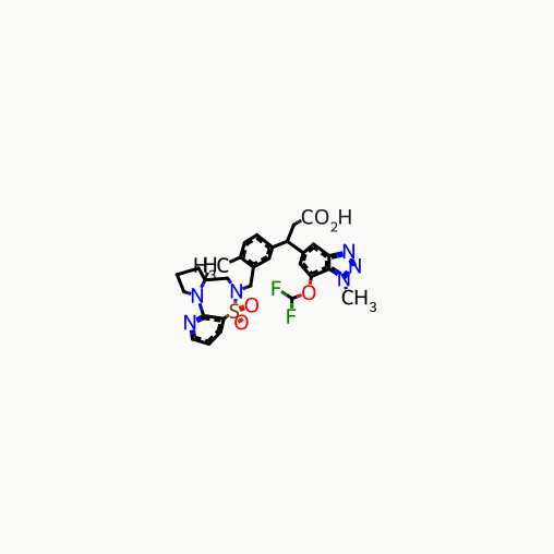 Cc1ccc(C(CC(=O)O)c2cc(OC(F)F)c3c(c2)nnn3C)cc1CN1C[C@H]2CCCN2c2ncccc2S1(=O)=O